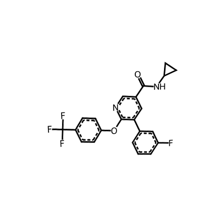 O=C(NC1CC1)c1cnc(Oc2ccc(C(F)(F)F)cc2)c(-c2cccc(F)c2)c1